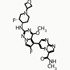 CNC(=O)c1cnc2ncc(-c3c(F)cn4nc(N[C@@H]5CCN(C6COC6)C[C@H]5F)nc(OC)c34)cn12